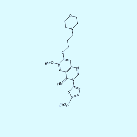 CCOC(=O)c1ccc(-n2cnc3cc(OCCCN4CCOCC4)c(OC)cc3c2=N)s1